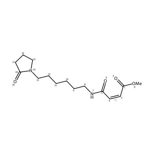 COC(=O)/C=C\C(=O)NCCCCCCN1CCCC1=O